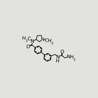 CN1CCC(N(C)C(=O)c2ccc(-c3cccc(CNC(=O)CN)c3)cc2)C1